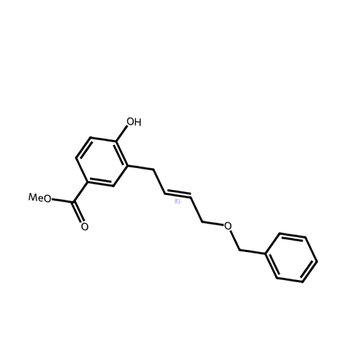 COC(=O)c1ccc(O)c(C/C=C/COCc2ccccc2)c1